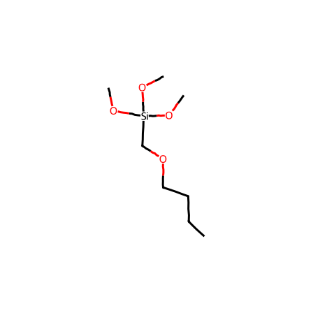 CCCCOC[Si](OC)(OC)OC